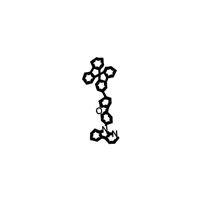 c1ccc2c(c1)-c1ccccc1C21c2ccccc2-c2cc(-c3ccc4c(c3)oc3cc(-n5c6ccccc6c6cccnc65)ccc34)ccc21